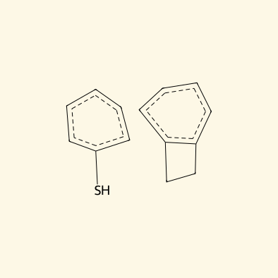 Sc1ccccc1.c1ccc2c(c1)CC2